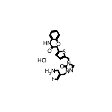 Cl.NC/C(=C\F)Cn1ncn(Cc2ccc(C3Oc4ccccc4NC3=O)s2)c1=O